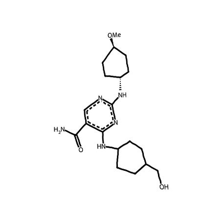 CO[C@H]1CC[C@H](Nc2ncc(C(N)=O)c(NC3CCC(CO)CC3)n2)CC1